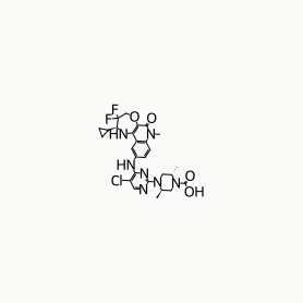 C[C@@H]1CN(C(=O)O)[C@@H](C)CN1c1ncc(Cl)c(Nc2ccc3c(c2)c2c(c(=O)n3C)OCC(F)(F)[C@H](C3CC3)N2)n1